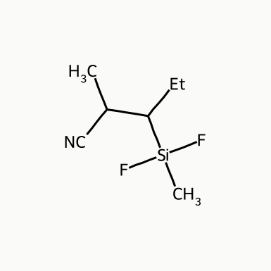 CCC(C(C)C#N)[Si](C)(F)F